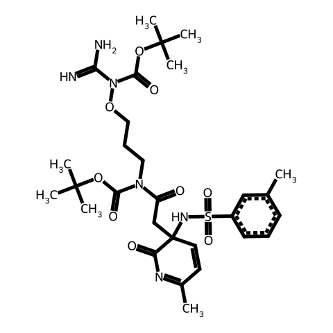 CC1=NC(=O)C(CC(=O)N(CCCON(C(=N)N)C(=O)OC(C)(C)C)C(=O)OC(C)(C)C)(NS(=O)(=O)c2cccc(C)c2)C=C1